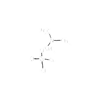 CN(C)C.[Cl][Zr]([Cl])([Cl])[Cl]